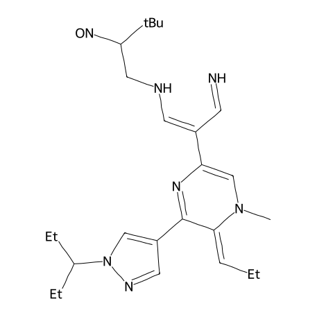 CC/C=C1/C(c2cnn(C(CC)CC)c2)=NC(/C(C=N)=C/NCC(N=O)C(C)(C)C)=CN1C